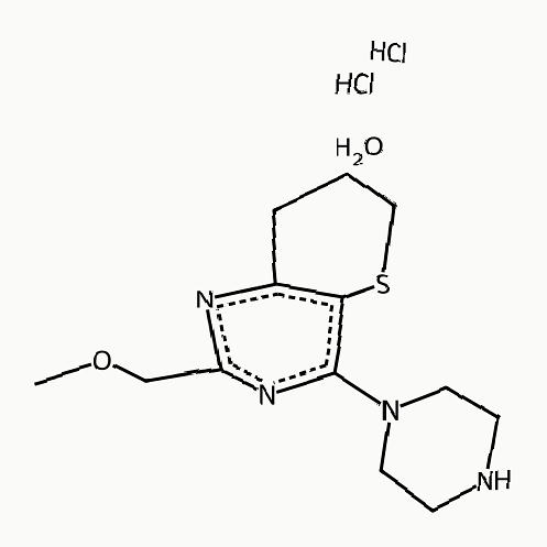 COCc1nc2c(c(N3CCNCC3)n1)SCCC2.Cl.Cl.O